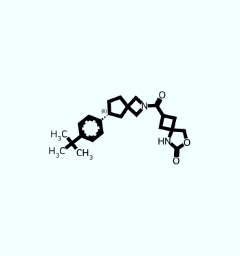 CC(C)(C)c1ccc([C@@H]2CCC3(C2)CN(C(=O)C2CC4(COC(=O)N4)C2)C3)cc1